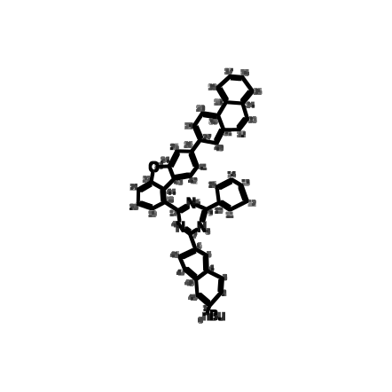 CCCCc1ccc2cc(-c3nc(-c4ccccc4)nc(-c4cccc5oc6cc(-c7ccc8c(ccc9ccccc98)c7)ccc6c45)n3)ccc2c1